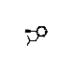 C#Cc1ccccc1CC(C)C